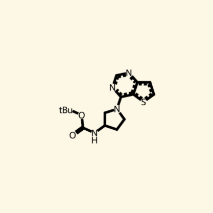 CC(C)(C)OC(=O)NC1CCN(c2ncnc3ccsc23)C1